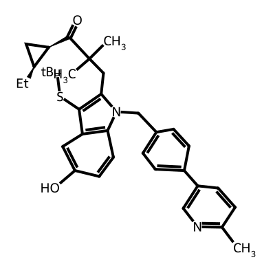 CC[C@H]1C[C@H]1C(=O)C(C)(C)Cc1c(SC(C)(C)C)c2cc(O)ccc2n1Cc1ccc(-c2ccc(C)nc2)cc1